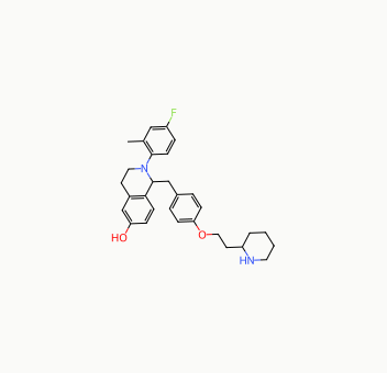 Cc1cc(F)ccc1N1CCc2cc(O)ccc2C1Cc1ccc(OCCC2CCCCN2)cc1